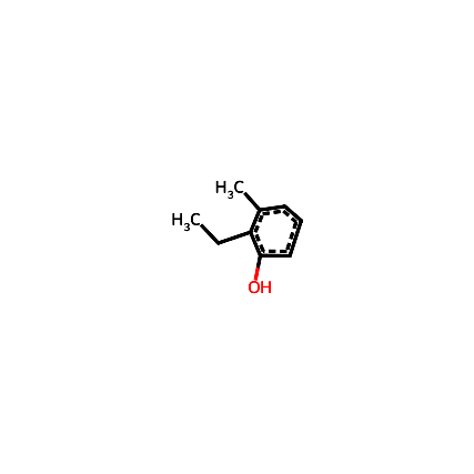 CCc1c(C)cccc1O